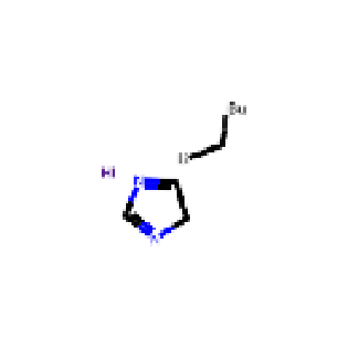 C1=NC=NC1.I.[Li][CH2]C(C)CC